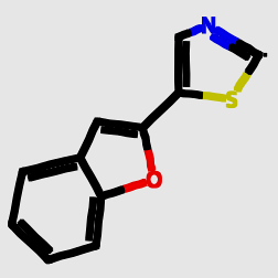 [c]1ncc(-c2cc3ccccc3o2)s1